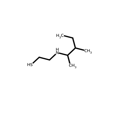 CCC(C)C(C)NCCS